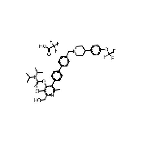 Cc1nc(CO)c(Cl)c(OC(=O)N(C(C)C)C(C)C)c1-c1ccc(-c2ccc(CN3CCC(c4ccc(OC(F)(F)F)cc4)CC3)cc2)cc1.O=C(O)C(F)(F)F